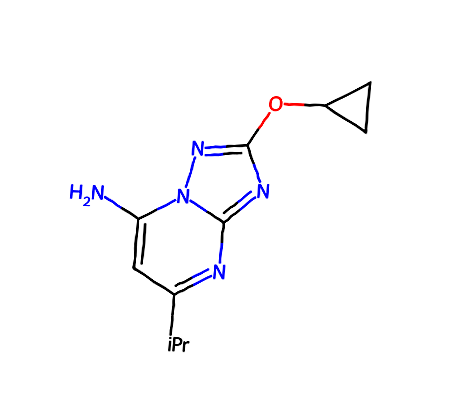 CC(C)c1cc(N)n2nc(OC3CC3)nc2n1